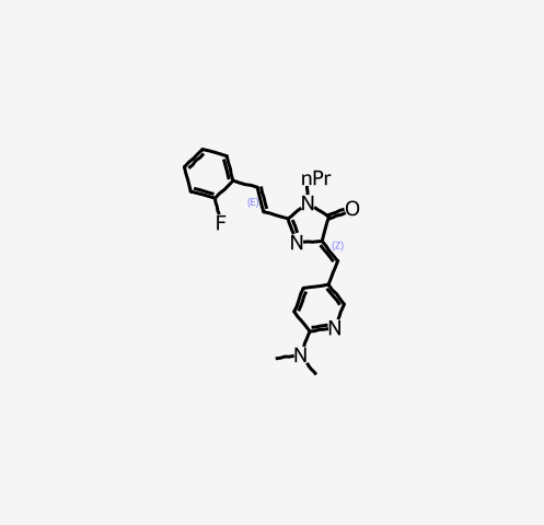 CCCN1C(=O)/C(=C/c2ccc(N(C)C)nc2)N=C1/C=C/c1ccccc1F